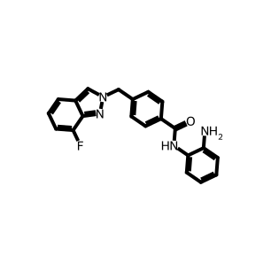 Nc1ccccc1NC(=O)c1ccc(Cn2cc3cccc(F)c3n2)cc1